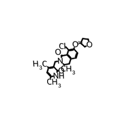 Cc1cc(C)c(CN2C(=O)c3c(ccc(O[C@@H]4CCOC4)c3Cl)CC2C)c(=O)[nH]1